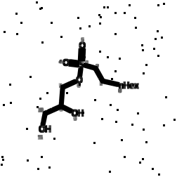 CCCCCCCCS(=O)(=O)OCC(O)CO